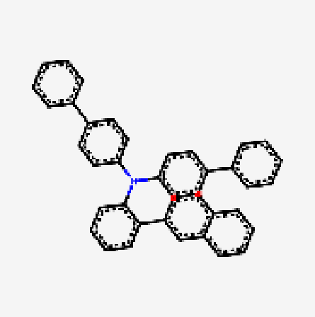 c1ccc(-c2ccc(N(c3ccc(-c4ccccc4)cc3)c3ccccc3-c3ccc4ccccc4c3)cc2)cc1